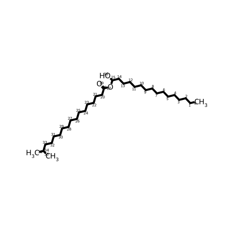 CCCCCCCCCCCCCCCC(O)OC(=O)CCCCCCCCCCCCCCC(C)C